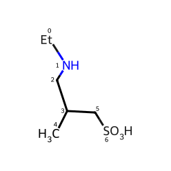 CCNCC(C)CS(=O)(=O)O